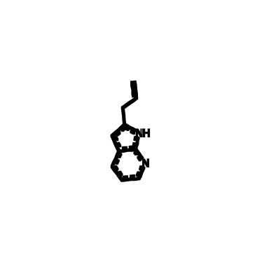 C=CCc1cc2cccnc2[nH]1